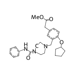 COC(=O)Cc1ccc(OC2CCCC2)c(CN2CCN(C(=O)Nc3ccccc3)CC2)c1